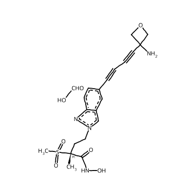 C[C@@](CCn1cc2cc(C#CC#CC3(N)COC3)ccc2n1)(C(=O)NO)S(C)(=O)=O.O=CO